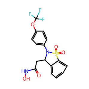 O=C(CC1c2ccccc2S(=O)(=O)N1c1ccc(OC(F)(F)F)cc1)NO